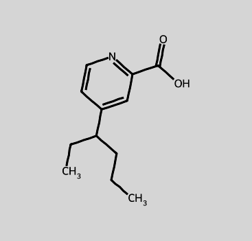 CCCC(CC)c1ccnc(C(=O)O)c1